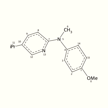 COc1ccc(N(C)c2ccc(C(C)C)cn2)cc1